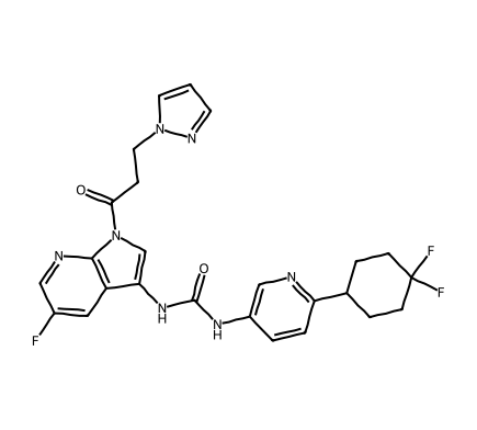 O=C(Nc1ccc(C2CCC(F)(F)CC2)nc1)Nc1cn(C(=O)CCn2cccn2)c2ncc(F)cc12